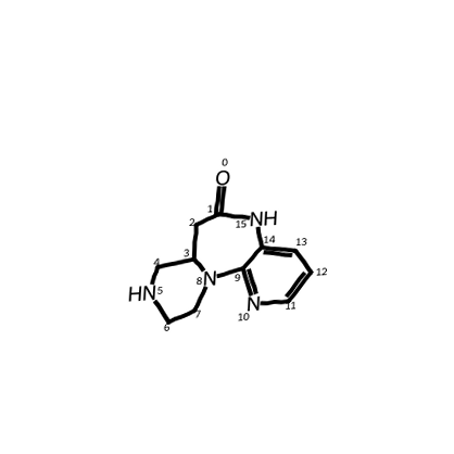 O=C1CC2CNCCN2c2ncccc2N1